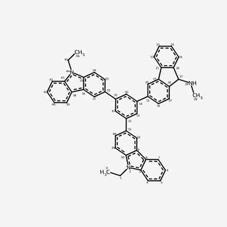 CCn1c2ccccc2c2cc(-c3cc(-c4ccc5c(c4)-c4ccccc4C5NC)cc(-c4ccc5c(c4)c4ccccc4n5CC)c3)ccc21